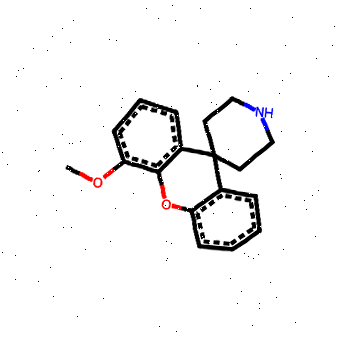 COc1cccc2c1Oc1ccccc1C21CCNCC1